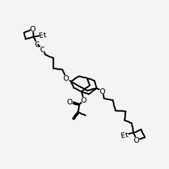 C=C(C)C(=O)OC12CC3CC(OCCCCCCC4(CC)CCO4)(CC(OCCCCCCC4(CC)CCO4)(C3)C1)C2